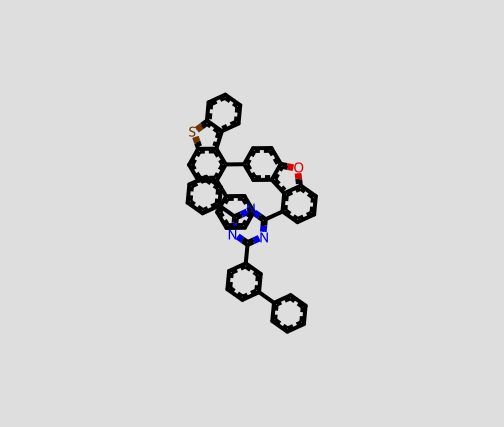 c1ccc(-c2cccc(-c3nc(-c4ccccc4)nc(-c4cccc5oc6ccc(-c7c(-c8ccccc8)ccc8sc9ccccc9c78)cc6c45)n3)c2)cc1